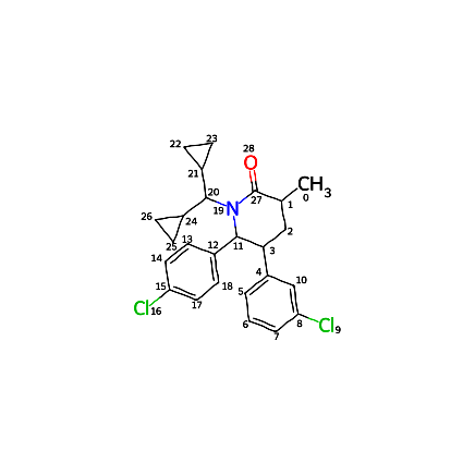 CC1CC(c2cccc(Cl)c2)C(c2ccc(Cl)cc2)N(C(C2CC2)C2CC2)C1=O